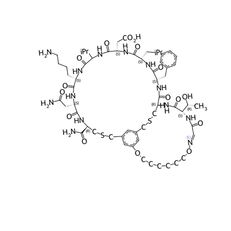 CC(C)C[C@@H]1NC(=O)[C@H](Cc2ccccc2)NC(=O)[C@@H]2CSCc3cc(cc(c3)OCCCCCCO/N=C/C(=O)N[C@@H]([C@@H](C)O)C(=O)N2)CSC[C@@H](C(N)=O)NC(=O)[C@H](CC(N)=O)NC(=O)[C@H](CCCCN)NC(=O)C(C(C)C)NC(=O)[C@H](CC(=O)O)NC1=O